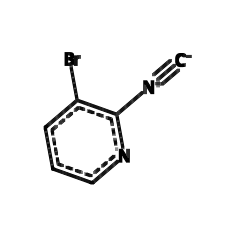 [C-]#[N+]c1ncccc1Br